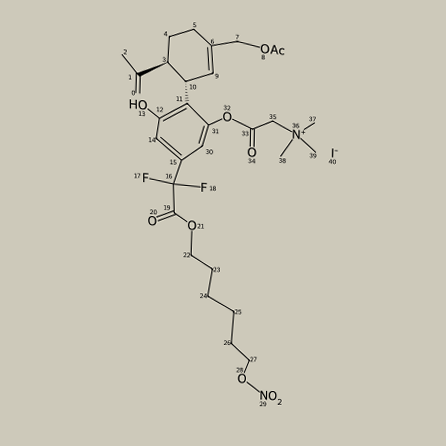 C=C(C)[C@H]1CCC(COC(C)=O)=C[C@@H]1c1c(O)cc(C(F)(F)C(=O)OCCCCCCO[N+](=O)[O-])cc1OC(=O)C[N+](C)(C)C.[I-]